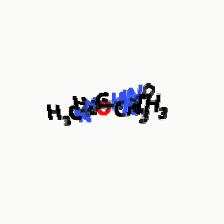 C=C\C(=C/C=C(C)/N=C(\N=C/C)NCC1CCCCC1)Oc1ccnc(-c2cnn(C)c2)c1